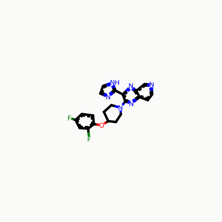 Fc1ccc(OC2CCN(c3nc4ccncc4nc3-c3ncc[nH]3)CC2)c(F)c1